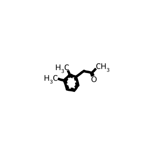 CC(=O)Cc1cccc(C)c1C